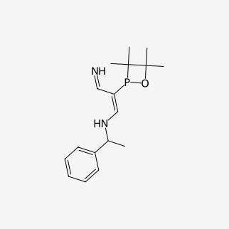 CC(N/C=C(\C=N)P1OC(C)(C)C1(C)C)c1ccccc1